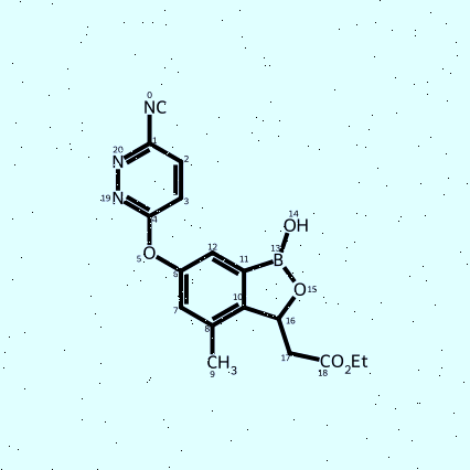 [C-]#[N+]c1ccc(Oc2cc(C)c3c(c2)B(O)OC3CC(=O)OCC)nn1